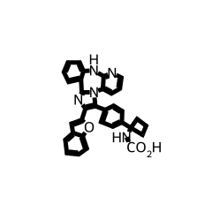 O=C(O)NC1(c2ccc(-c3c(-c4cc5ccccc5o4)nc4n3-c3cccnc3Nc3ccccc3-4)cc2)CCC1